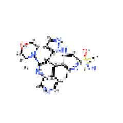 Cc1nc(S(C)(=N)=O)ccc1-c1c(-c2ccn[nH]2)c(N2CCOC[C@H]2C)nc2cnccc12